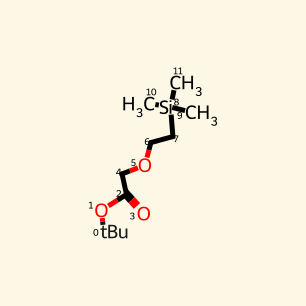 CC(C)(C)OC(=O)COCC[Si](C)(C)C